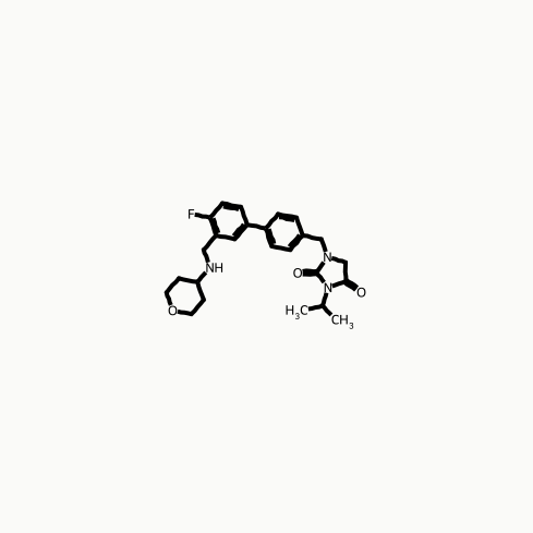 CC(C)N1C(=O)CN(Cc2ccc(-c3ccc(F)c(CNC4CCOCC4)c3)cc2)C1=O